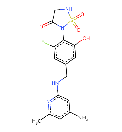 Cc1cc(C)nc(NCc2cc(O)c(N3C(=O)CNS3(=O)=O)c(F)c2)c1